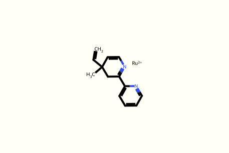 C=CC1(C)C=CN=C(c2ccccn2)C1.[Ru+2]